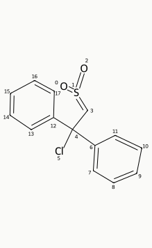 O=S(=O)=CC(Cl)(c1ccccc1)c1ccccc1